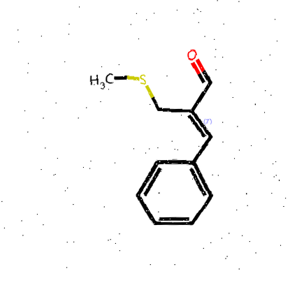 CSC/C(C=O)=C\c1ccccc1